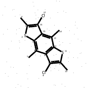 Cc1sc2c(C)c3c(Cl)c(C)sc3c(C)c2c1Cl